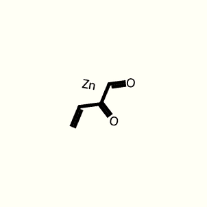 C=CC(=O)C=O.[Zn]